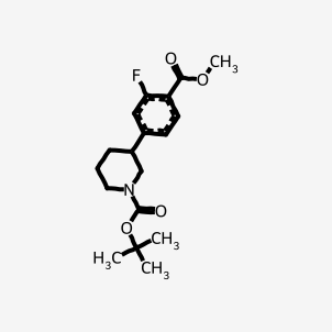 COC(=O)c1ccc(C2CCCN(C(=O)OC(C)(C)C)C2)cc1F